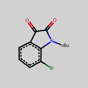 CCCCN1C(=O)C(=O)c2cccc(Br)c21